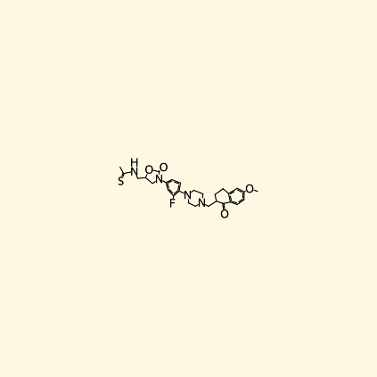 COc1ccc2c(c1)CCC(CN1CCN(c3ccc(N4CC(CNC(C)=S)OC4=O)cc3F)CC1)C2=O